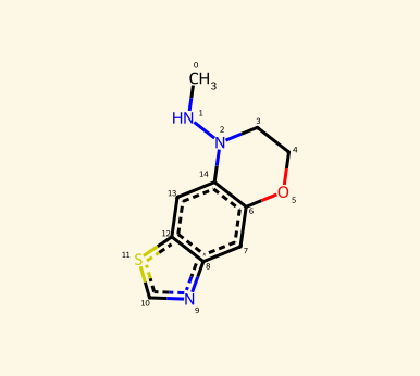 CNN1CCOc2cc3ncsc3cc21